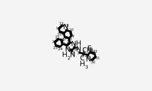 CC(C)(CNc1nc(-c2ccc3ncccc3c2)c(-c2ccccc2)nc1N)c1ncccc1F